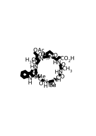 CC[C@H](C)[C@@H]1NC(=O)CNC(=O)[C@H](Cc2c(SC)[nH]c3ccccc23)NC(=O)[C@H]([C@@H](C)[C@@H](COC(C)=O)OC(C)=O)NC(=O)[C@@H]2CCCN2C(=O)C(CC(=O)O)NC(=O)[C@H](C)NC(=O)CNC1=O